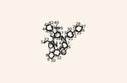 C=Cc1nc(-c2c3ccccc3cc3oc4ccc(N(c5ccc(-c6ccccc6)cc5)c5ccc6c(c5)C(C)(C)c5ccccc5-6)cc4c23)oc1C=C